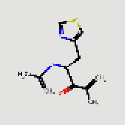 C=C(C)N[C@@H](Cc1cscn1)C(=O)C(=C)C